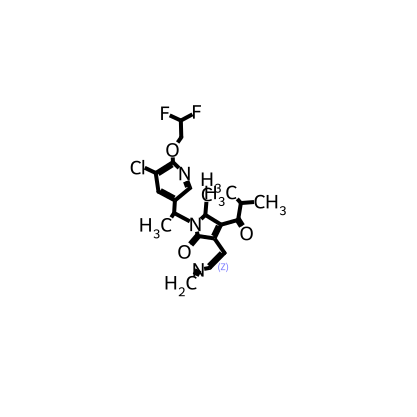 C=N/C=C\C1=C(C(=O)C(C)C)C(C)N(C(C)c2cnc(OCC(F)F)c(Cl)c2)C1=O